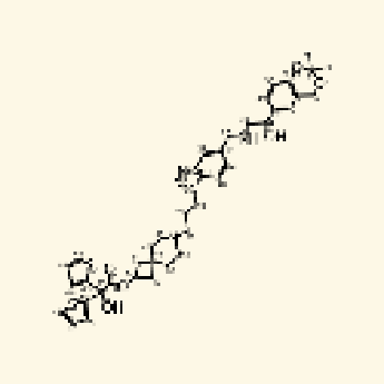 CC1(C)OCc2cc([C@@H](O)CNCc3ccc4c(c3)nnn4CCCN3CCC4(CC3)CC(OC(=O)C(O)(c3cccs3)c3cccs3)C4)ccc2O1